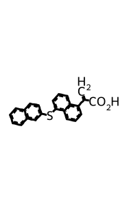 C=C(C(=O)O)c1cccc2c(Sc3ccc4ccccc4c3)cccc12